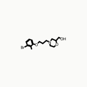 Cc1c(Br)cccc1OCCCN1CCOC(CO)C1